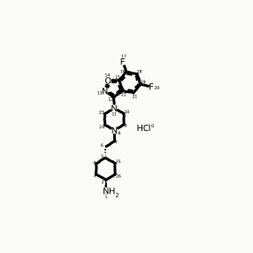 Cl.N[C@H]1CC[C@H](CCN2CCN(c3noc4c(F)cc(F)cc34)CC2)CC1